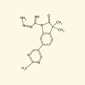 Cc1ncc(-c2ccc3c(c2)N(C(=N)/N=N\N)C(=O)C3(C)C)cn1